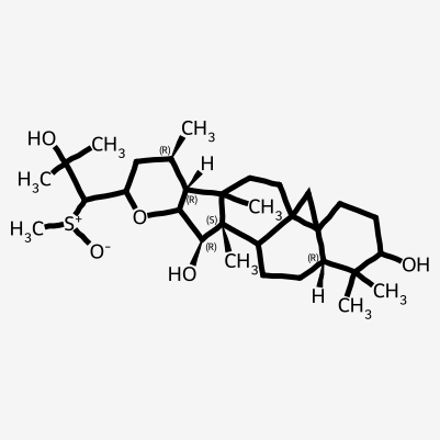 C[C@@H]1CC(C([S+](C)[O-])C(C)(C)O)OC2[C@H]1C1(C)CCC34CC35CCC(O)C(C)(C)[C@@H]5CCC4[C@]1(C)[C@H]2O